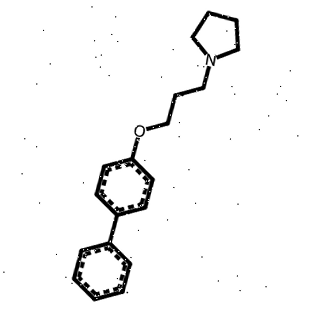 [c]1cccc(-c2ccc(OCCCN3CCCC3)cc2)c1